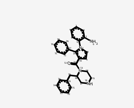 Nc1ccccc1-n1ccc(C(=O)N2CCNCC2Cc2ccccc2)c1-c1ccccc1